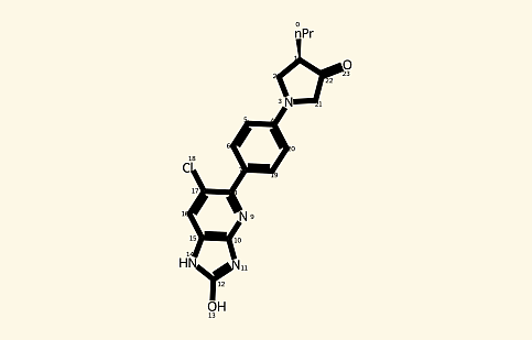 CCC[C@@H]1CN(c2ccc(-c3nc4nc(O)[nH]c4cc3Cl)cc2)CC1=O